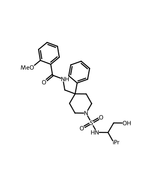 COc1ccccc1C(=O)NCC1(c2ccccc2)CCN(S(=O)(=O)NC(CO)C(C)C)CC1